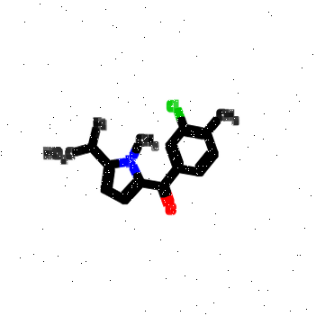 CCC(C(=O)O)c1ccc(C(=O)c2ccc(C)c(Cl)c2)n1C